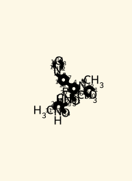 CCN(c1cc(-c2ccc(CN3CCOCC3)cc2)c(F)c(C(=O)NCc2c(C)cc(C)[nH]c2=O)c1C)C1CCOCC1